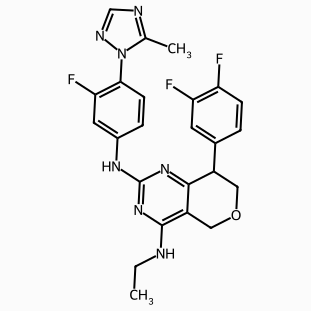 CCNc1nc(Nc2ccc(-n3ncnc3C)c(F)c2)nc2c1COCC2c1ccc(F)c(F)c1